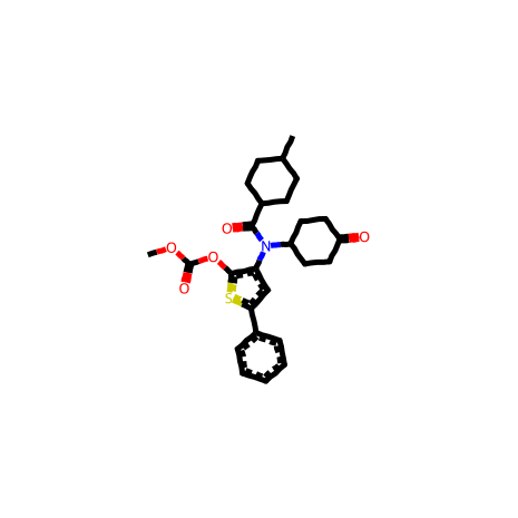 COC(=O)Oc1sc(-c2ccccc2)cc1N(C(=O)C1CCC(C)CC1)C1CCC(=O)CC1